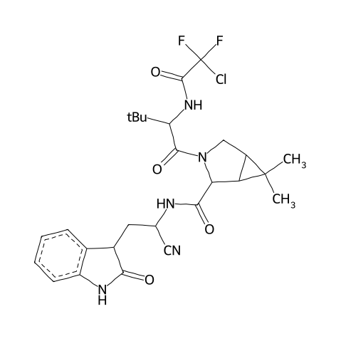 CC(C)(C)C(NC(=O)C(F)(F)Cl)C(=O)N1CC2C(C1C(=O)NC(C#N)CC1C(=O)Nc3ccccc31)C2(C)C